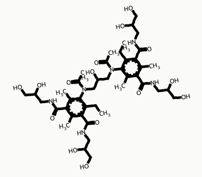 CCc1c(C(=O)NCC(O)CO)c(C)c(C(=O)NCC(O)CO)c(C)c1N(CC(O)CN(C(C)=O)c1c(C)c(C(=O)NCC(O)CO)c(C)c(C(=O)NCC(O)CO)c1CC)C(C)=O